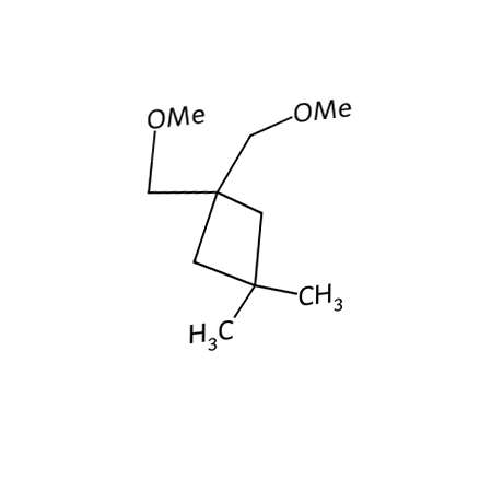 COCC1(COC)CC(C)(C)C1